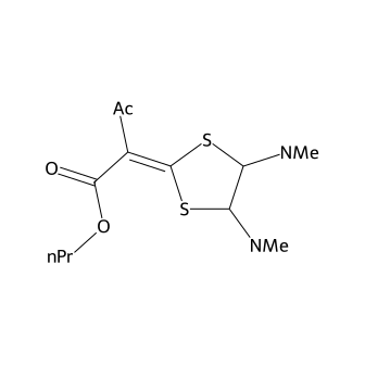 CCCOC(=O)C(C(C)=O)=C1SC(NC)C(NC)S1